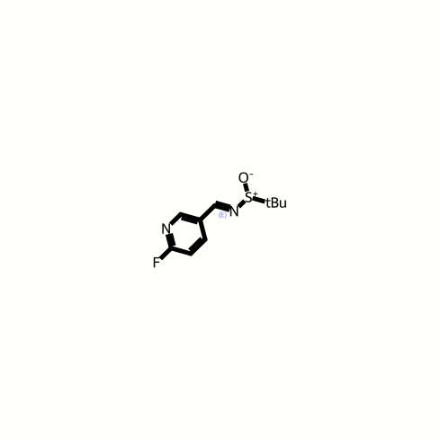 CC(C)(C)[S+]([O-])/N=C/c1ccc(F)nc1